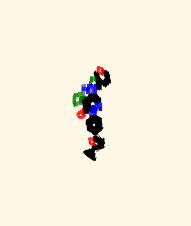 O=c1c(Cl)c(NCC2(F)CCCOC2)cnn1-c1ccc([C@@H]2CC[C@H](C3CC3)O2)cc1